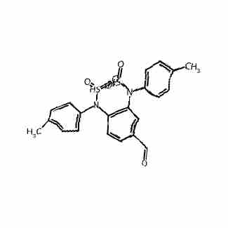 Cc1ccc(N(c2ccc(C=O)cc2N(c2ccc(C)cc2)[SH](=O)=O)[SH](=O)=O)cc1